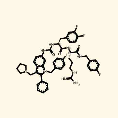 N=C(N)NCCC[C@H](NC(=O)[C@H](Cc1ccc(F)c(F)c1)NC(=O)Nc1ccc2c(CN3CCCC3)c(-c3ccccc3)n(Cc3ccc(F)cc3)c2c1)C(=O)NCc1ccc(F)cc1